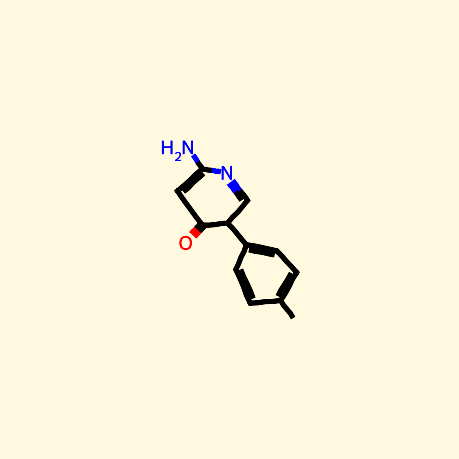 Cc1ccc(C2C=NC(N)=CC2=O)cc1